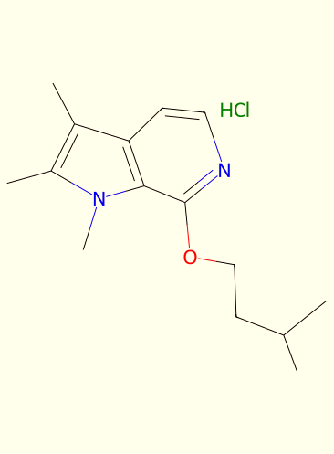 Cc1c(C)n(C)c2c(OCCC(C)C)nccc12.Cl